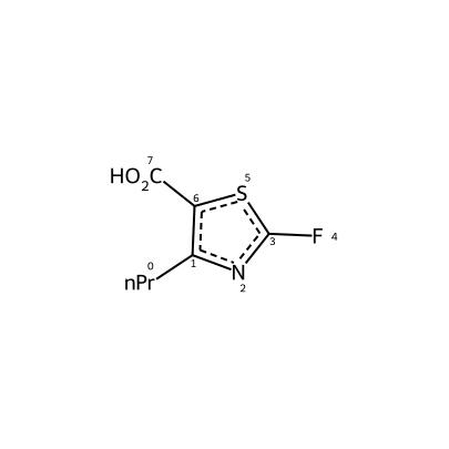 CCCc1nc(F)sc1C(=O)O